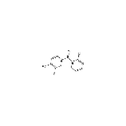 CC(=O)c1ccc(C(=O)c2cccnc2Cl)cc1Cl